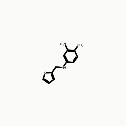 Nc1ccc(NCc2cccs2)cc1[N+](=O)[O-]